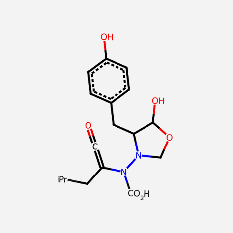 CC(C)CC(=C=O)N(C(=O)O)N1COC(O)C1Cc1ccc(O)cc1